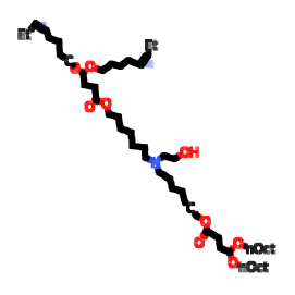 CC/C=C\CCCCOC(CCC(=O)OCCCCCCCN(CCO)CCCCCCCOC(=O)CCC(OCCCCCCCC)OCCCCCCCC)OCCCC/C=C\CC